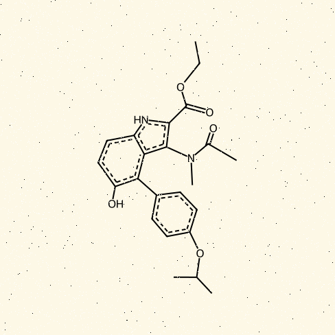 CCOC(=O)c1[nH]c2ccc(O)c(-c3ccc(OC(C)C)cc3)c2c1N(C)C(C)=O